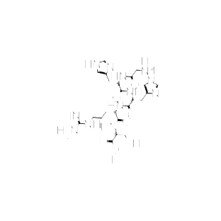 N=C(N)NCCC[C@H](NC(=O)[C@H](Cc1c[nH]cn1)NC(=O)[C@H](Cc1c[nH]cn1)NC(=O)CN)C(=O)N[C@@H](CS)C(=O)O